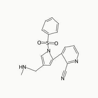 CNCc1cc(-c2cccnc2C#N)n(S(=O)(=O)c2ccccc2)c1